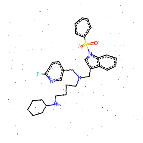 O=S(=O)(c1ccccc1)n1cc(CN(CCCCNC2CCCCC2)Cc2ccc(F)nc2)c2ccccc21